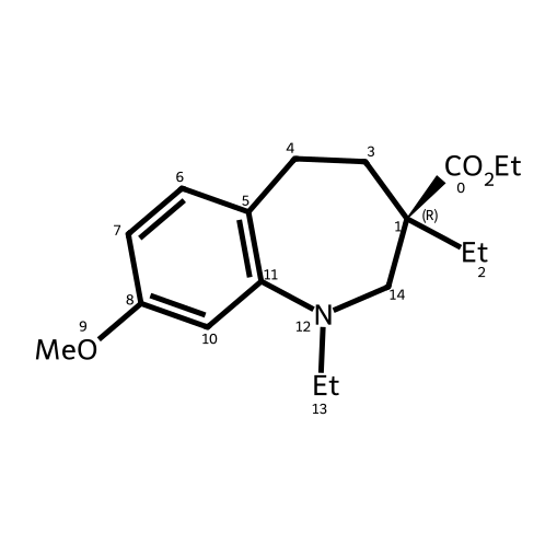 CCOC(=O)[C@]1(CC)CCc2ccc(OC)cc2N(CC)C1